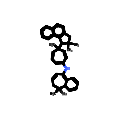 CC1(C2c3c(ccc4ccccc34)CC2(C)C)C=CC=C(NC2=C3C=CC=CC3C(C)(C(C)(C)C)CC=C2)C=C1